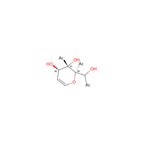 CC(=O)C(O)[C@@]1(C(C)=O)OC=C[C@@H](O)[C@@]1(O)C(C)=O